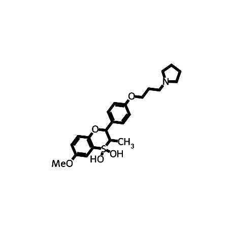 COc1ccc2c(c1)S(O)(O)C(C)C(c1ccc(OCCCN3CCCC3)cc1)O2